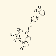 CCN(PC)C(=O)OCN1C(=O)CCc2ccc(OCCCCN3CCN(c4cccc(Cl)c4Cl)CC3)cc21